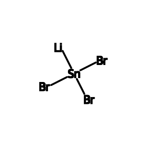 [Li][Sn]([Br])([Br])[Br]